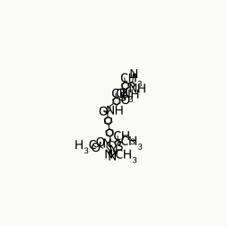 COC(=O)C[C@@H]1N=C(c2ccc(-c3ccc(C(=O)NCc4ccc(S(=O)(=O)Nc5ccc(C)c6c(C#N)c[nH]c56)c(C)c4)cc3)cc2)c2c(sc(C)c2C)-n2c(C)nnc21